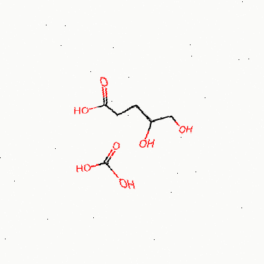 O=C(O)CCC(O)CO.O=C(O)O